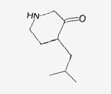 CC(C)CC1CCNCC1=O